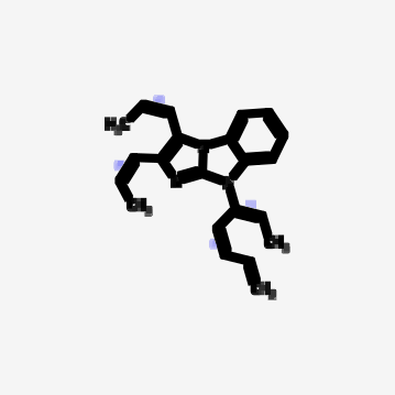 C=C/C=C\C(=C/C)n1c2ccccc2n2c(/C=C\C)c(/C=C\C)nc12